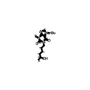 CCCCn1cnc2c1c(=O)n(CCCCC(C)O)c(=O)n2C